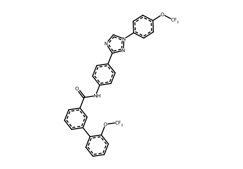 O=C(Nc1ccc(-c2ncn(-c3ccc(OC(F)(F)F)cc3)n2)cc1)c1cccc(-c2ccccc2OC(F)(F)F)c1